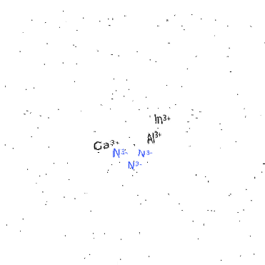 [Al+3].[Ga+3].[In+3].[N-3].[N-3].[N-3]